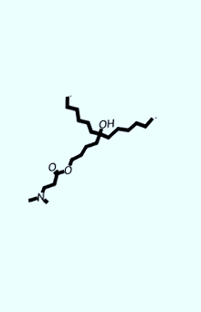 [CH2]CCCCCC(O)(CCCCC[CH2])CCCCOC(=O)CCN(C)C